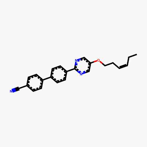 CC/C=C\CCOc1cnc(-c2ccc(-c3ccc(C#N)cc3)cc2)nc1